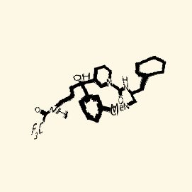 CNCC(CC1CCCCC1)NC(=O)N1CCCC([C@@](O)(CCCNC(=O)C(F)(F)F)c2cccc(Cl)c2)C1